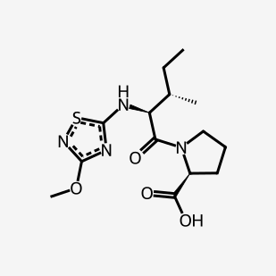 CC[C@H](C)[C@H](Nc1nc(OC)ns1)C(=O)N1CCC[C@H]1C(=O)O